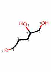 [O]CCCC(O)CO